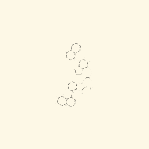 CC1=Cc2c(-c3cccc4ccccc34)ccc(C)c2[CH]1[Zr](=[C](C)C)[CH]1C(C(C)C)=Cc2c(-c3cccc4ccccc34)cccc21